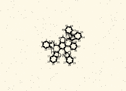 [CH]1Sc2c(-c3nc4ccccc4[nH]3)c(-c3cc4ccccc4o3)c(-c3nc4ccccc4o3)c(-c3ccccc3SCc3ccccc3)c2N1c1cc2ccccc2[nH]1